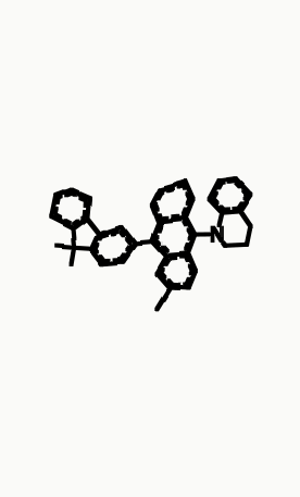 Cc1ccc2c(N3CCCc4ccccc43)c3ccccc3c(-c3ccc4c(c3)-c3ccccc3C4(C)C)c2c1